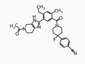 CCc1cc(C)c(C(=O)N2CCC(F)(c3ccc(C#N)cc3)CC2)cc1-c1nc2c([nH]1)CN(C(C)=O)CC2